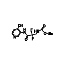 CC(C)(C)OC(=O)NCC(F)(F)C(=O)Nc1cnccc1O